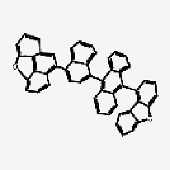 c1ccc2c(c1)oc1cccc(-c3c4ccccc4c(-c4ccc(-c5cc6cccc7oc8cccc5c8c67)c5ccccc45)c4ccccc34)c12